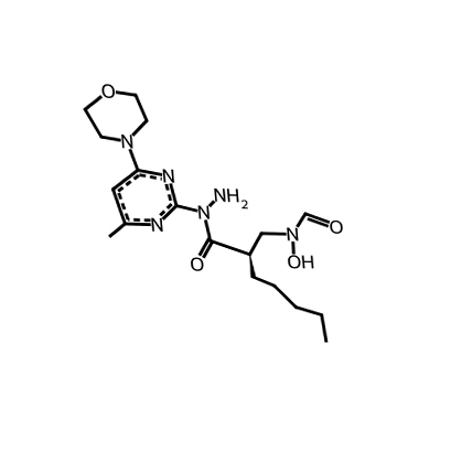 CCCCC[C@H](CN(O)C=O)C(=O)N(N)c1nc(C)cc(N2CCOCC2)n1